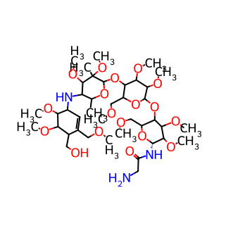 COCC1=CC(NC2C(C)OC(OC3C(COC)OC(OC4C(COC)O[C@@H](NC(=O)CN)C(OC)C4OC)C(OC)C3OC)C(C)(OC)C2OC)C(OC)C(OC)C1CO